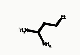 CCCCC(N)N